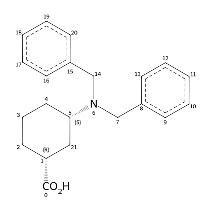 O=C(O)[C@@H]1CCC[C@H](N(Cc2ccccc2)Cc2ccccc2)C1